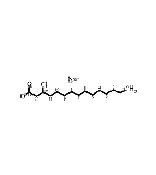 CCCCCCCCCCCCC(Cl)CC(=O)[O-].[Na+]